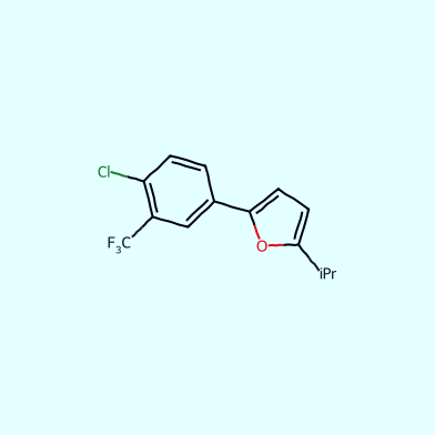 CC(C)c1ccc(-c2ccc(Cl)c(C(F)(F)F)c2)o1